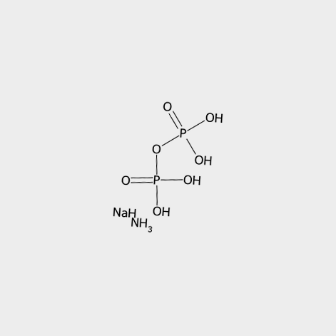 N.O=P(O)(O)OP(=O)(O)O.[NaH]